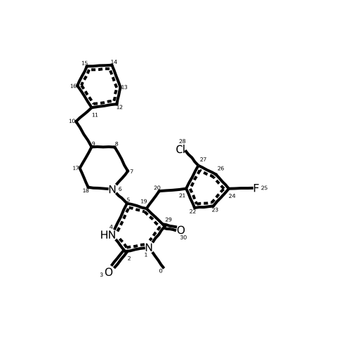 Cn1c(=O)[nH]c(N2CCC(Cc3ccccc3)CC2)c(Cc2ccc(F)cc2Cl)c1=O